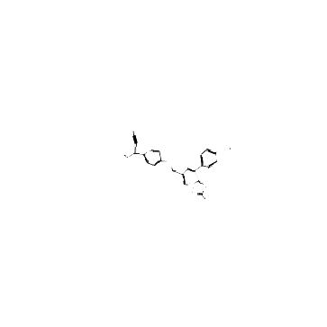 CC#CC(CC(=O)OCC)c1ccc(OCc2cc(-c3ccc(C#N)cc3)c3nc(C(C)C)nn3c2)cc1